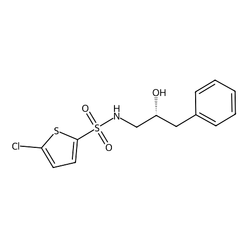 O=S(=O)(NC[C@H](O)Cc1ccccc1)c1ccc(Cl)s1